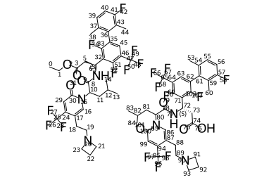 CCOC(=O)C[C@H](NC(=O)C(CC(C)C)n1cc(CCN2CCC2)c(C(F)(F)F)cc1=O)c1c(F)c(-c2c(C)ccc(F)c2C)cc(C(F)(F)F)c1F.Cc1ccc(F)c(C)c1-c1cc(C(F)(F)F)c(F)c([C@H](CC(=O)O)NC(=O)C(CC(C)C)n2cc(CCN3CCC3)c(C(F)(F)F)cc2=O)c1F